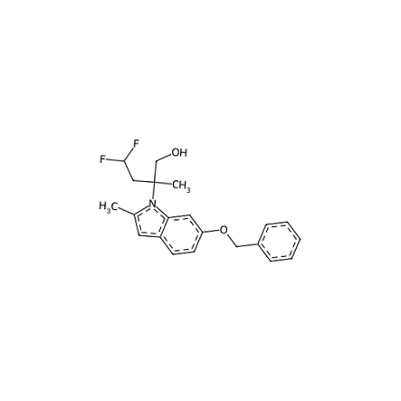 Cc1cc2ccc(OCc3ccccc3)cc2n1C(C)(CO)CC(F)F